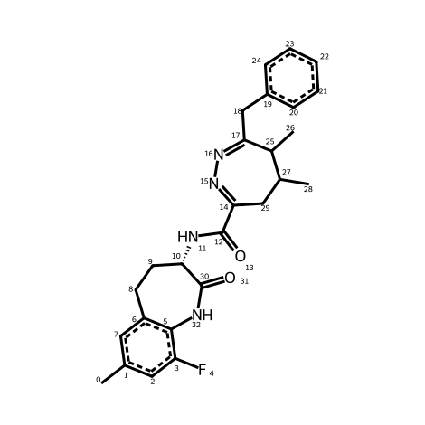 Cc1cc(F)c2c(c1)CC[C@H](NC(=O)C1=NN=C(Cc3ccccc3)C(C)C(C)C1)C(=O)N2